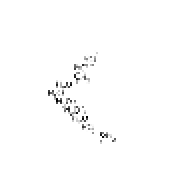 Cl.Cl.Cl.O.O.O.O.O.O.[SrH2]